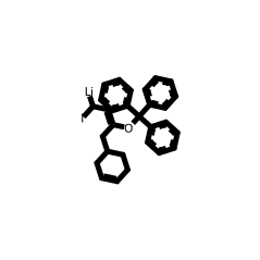 [Li][CH](I)C=C(CC1CC=CCC1)OC(c1ccccc1)(c1ccccc1)c1ccccc1